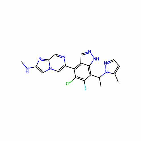 CNc1cn2cc(-c3c(Cl)c(F)c(C(C)n4nccc4C)c4[nH]ncc34)ncc2n1